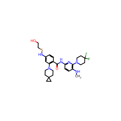 CNc1ccc(NC(=O)c2ccc(NSCCO)cc2N2CCC3(CC2)CC3)nc1N1CCC(F)(F)CC1